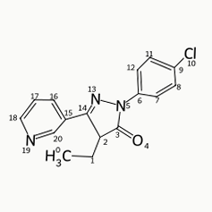 CCC1C(=O)N(c2ccc(Cl)cc2)N=C1c1cccnc1